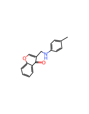 Cc1ccc(NCc2coc3ccccc3c2=O)cc1